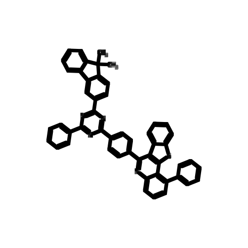 CC1(C)c2ccccc2-c2cc(-c3nc(-c4ccccc4)nc(-c4ccc(-c5nc6cccc(-c7ccccc7)c6c6sc7ccccc7c56)cc4)n3)ccc21